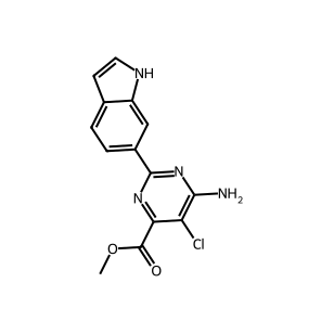 COC(=O)c1nc(-c2ccc3cc[nH]c3c2)nc(N)c1Cl